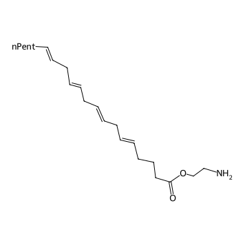 CCCCCC=CCC=CCC=CCC=CCCCC(=O)OCCN